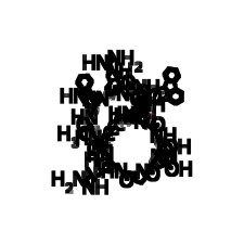 C[C@@H]1NC(=O)[C@@H]2CCCC[C@H](NC(=O)CNC(=O)OCC3c4ccccc4-c4ccccc43)C(=O)N[C@@H](CCCC[C@@H](C(N)=O)NC(=O)[C@H](CCCNC(=N)N)NC(=O)[C@H](Cc3cc4ccccc4[nH]3)NC1=O)C(=O)N[C@@H](CO)C(=O)N[C@@H](CC(=O)O)C(=O)N1CCCC1C(=O)N[C@@H](CCCNC(=N)N)C(=O)N2